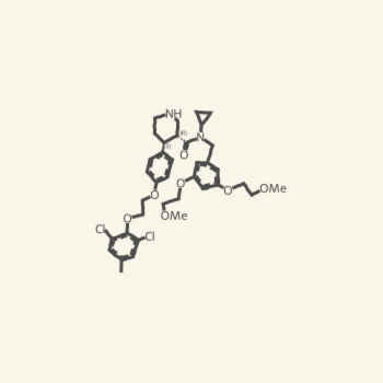 COCCOc1cc(CN(C(=O)[C@H]2CNCC[C@@H]2c2ccc(OCCOc3c(Cl)cc(C)cc3Cl)cc2)C2CC2)cc(OCCOC)c1